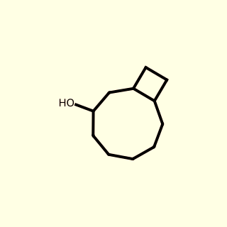 OC1CCCCCC2CCC2C1